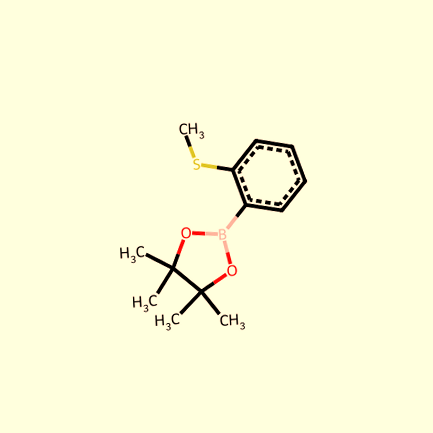 CSc1ccccc1B1OC(C)(C)C(C)(C)O1